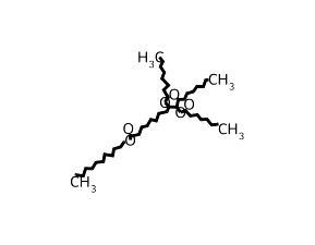 CCCCCCCCCCCCOC(=O)CCCCCCCC(OC(=O)CCCCCCC)C(CCCCCCCC)OC(=O)CCCCCCC